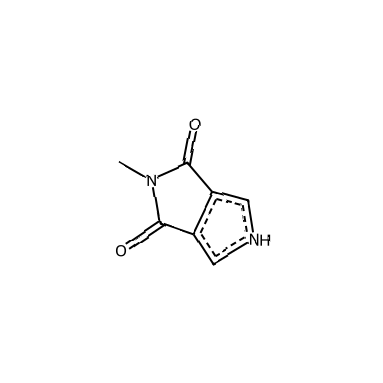 CN1C(=O)c2c[nH]cc2C1=O